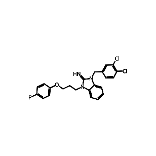 N=c1n(CCCOc2ccc(F)cc2)c2ccccc2n1Cc1ccc(Cl)c(Cl)c1